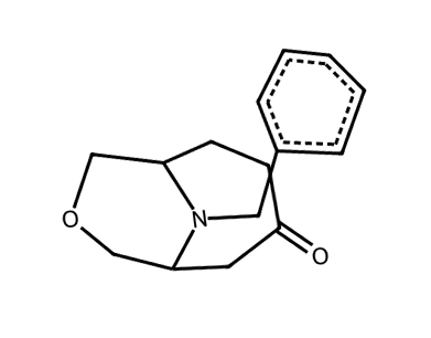 O=C1CCC2COCC(C1)N2Cc1ccccc1